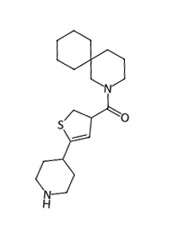 O=C(C1C=C(C2CCNCC2)SC1)N1CCCC2(CCCCC2)C1